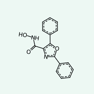 O=C(NO)c1nc(-c2ccccc2)oc1-c1ccccc1